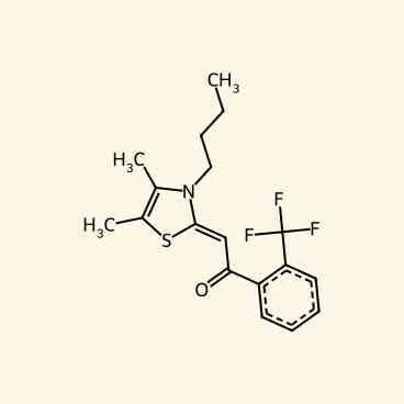 CCCCN1C(C)=C(C)S/C1=C\C(=O)c1ccccc1C(F)(F)F